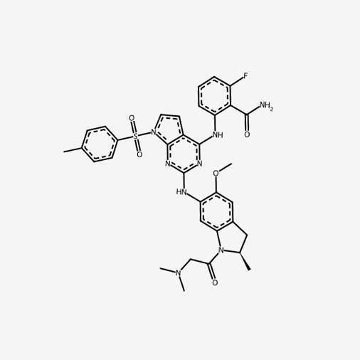 COc1cc2c(cc1Nc1nc(Nc3cccc(F)c3C(N)=O)c3ccn(S(=O)(=O)c4ccc(C)cc4)c3n1)N(C(=O)CN(C)C)[C@H](C)C2